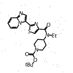 CCN(C(=O)c1csc(-c2cnc3ccccn23)n1)C1CCN(C(=O)OC(C)(C)C)CC1